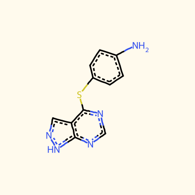 Nc1ccc(Sc2ncnc3[nH]ncc23)cc1